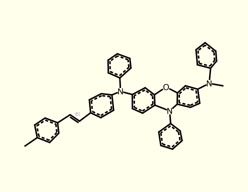 Cc1ccc(/C=C/c2ccc(N(c3ccccc3)c3ccc4c(c3)Oc3cc(N(C)c5ccccc5)ccc3N4c3ccccc3)cc2)cc1